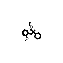 CCOC(=O)C(C)(Cc1ccccc1OC)C1CCCCC1